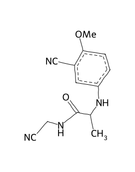 COc1ccc(NC(C)C(=O)NCC#N)cc1C#N